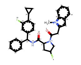 Cn1c(CC(=O)N2CC(F)CC2C(=O)NC(c2ccccc2)c2ccc(C3CC3)c(F)c2)cc2ccccc21